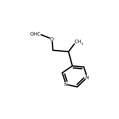 CC(COC=O)c1cncnc1